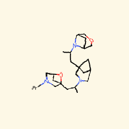 CC(C)N1CC2CC(CC(C)N3CC4CC(CC(C)N5C6COCC5C6)(C4)C3)(C1)O2